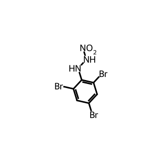 O=[N+]([O-])NNc1c(Br)cc(Br)cc1Br